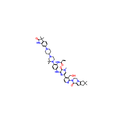 C=CC(=O)Nc1cc(Nc2nc(-c3ccnc(N4CCn5c(cc6c5CC(C)(C)C6)C4=O)c3CO)cn(C)c2=O)ccc1N1CCN(C2CCN(c3ccc4c(c3)NC(=O)C4(C)C)CC2)C[C@@H]1C